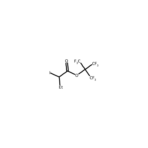 CCC(I)C(=O)OC(C(F)(F)F)(C(F)(F)F)C(F)(F)F